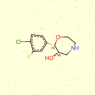 O[C@@H]1CNCCO[C@H]1c1ccc(Cl)c(F)c1